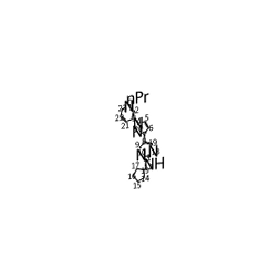 CCCN1C=C(n2ccc(-c3cnc(NC4CCCC4)nc3)n2)C=CC1